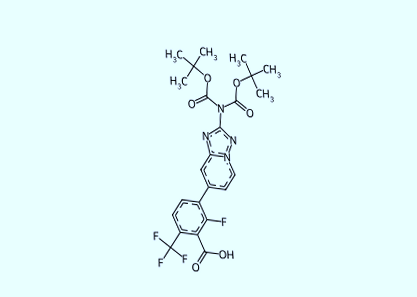 CC(C)(C)OC(=O)N(C(=O)OC(C)(C)C)c1nc2cc(-c3ccc(C(F)(F)F)c(C(=O)O)c3F)ccn2n1